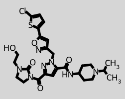 CC(C)N1CCC(NC(=O)c2cc(C(=O)N3CCN(CCO)C3=O)nn2Cc2cc(-c3ccc(Cl)s3)on2)CC1